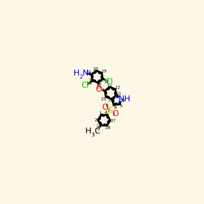 Cc1ccc(S(=O)(=O)c2c[nH]c3ccc(Oc4c(Cl)c[c]c(N)c4Cl)cc23)cc1